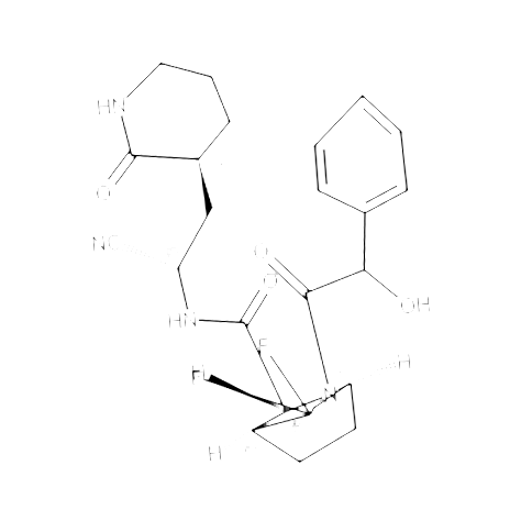 N#C[C@H](C[C@@H]1CCCNC1=O)NC(=O)[C@H]1[C@@H]2CC[C@@H](CC2(F)F)N1C(=O)C(O)c1ccccc1